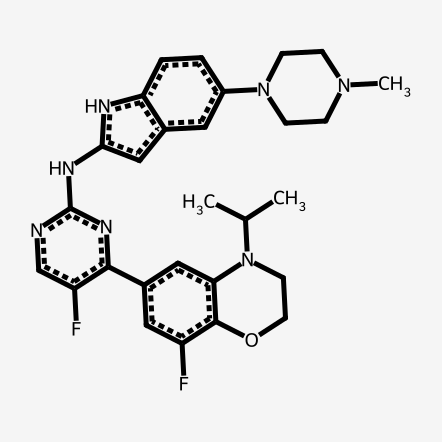 CC(C)N1CCOc2c(F)cc(-c3nc(Nc4cc5cc(N6CCN(C)CC6)ccc5[nH]4)ncc3F)cc21